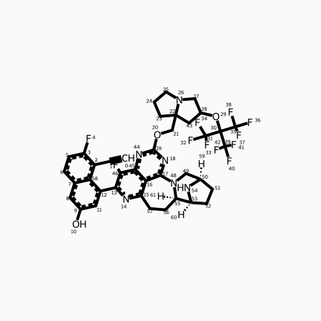 C#Cc1c(F)ccc2cc(O)cc(-c3nc4c5c(nc(OCC67CCCN6CC(OC(C(F)(F)F)(C(F)(F)F)C(F)(F)F)C7)nc5c3F)N3C[C@H]5CC[C@H](N5)[C@H]3CC4)c12